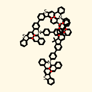 CC1(C)c2cc(-c3ccc(N(c4ccccc4-c4ccc5c(c4)sc4ccccc45)c4cccc5ccccc45)cc3)ccc2-c2ccc(-c3ccc4c(N(c5ccccc5-c5ccc6c(c5)sc5ccc(-c7ccc(-c8ccc9c(c8)sc8ccccc89)c(N(c8ccc(-c9ccc(-c%10ccccc%10)cc9)cc8)c8cccc9ccccc89)c7)cc56)c5ccccc5-n5c6ccccc6c6ccccc65)cccc4c3)cc21